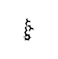 CC(C)[CH2][Al]([CH2]CCc1ccccn1)[CH2]C(C)C